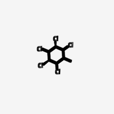 CC1C(Cl)[C@@H](Cl)C(Cl)[C@@H](Cl)C1Cl